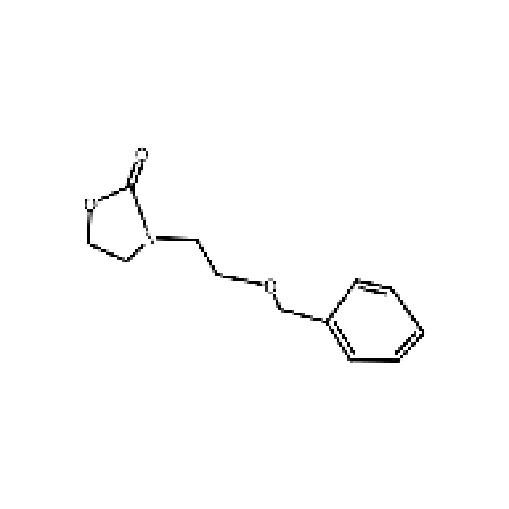 O=C1OCCN1CCOCc1ccccc1